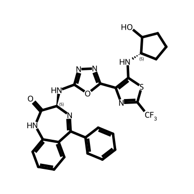 O=C1Nc2ccccc2C(c2ccccc2)=N[C@@H]1Nc1nnc(-c2nc(C(F)(F)F)sc2N[C@H]2CCCC2O)o1